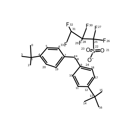 CC(C)(C)c1ccc([I+]c2ccc(C(C)(C)C)cc2)cc1.O=S(=O)([O-])C(F)(F)C(F)(F)C(F)F